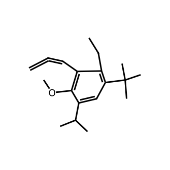 C=C=Cc1c(CC)c(C(C)(C)C)cc(C(C)C)c1OC